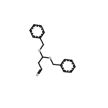 O=CCC(OCc1ccccc1)OCc1ccccc1